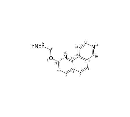 CCCCCCCCCCOc1ccc2ccc3cnccc3c2n1